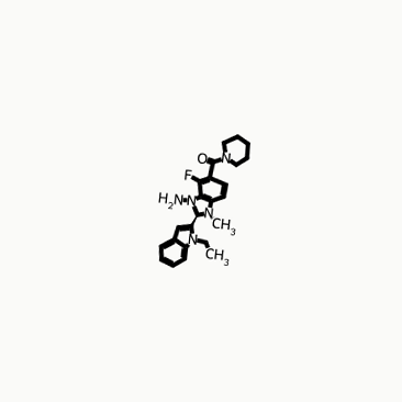 CCn1c([C@@H]2N(C)c3ccc(C(=O)N4CCCCC4)c(F)c3N2N)cc2ccccc21